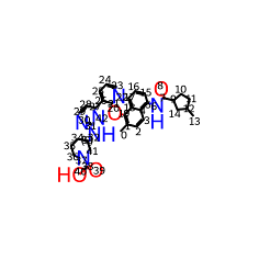 Cc1ccc2c(NC(=O)C3CCC(C)C3)cccc2c1Oc1ncccc1-c1ccnc(N[C@H]2CCCN(C(=O)O)C2)n1